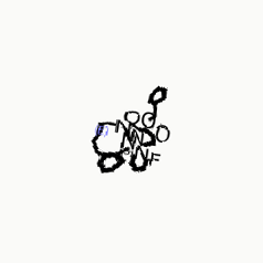 O=C1c2c(OCc3ccccc3)c(=O)ccn2N2CN1C/C=C/CCc1ccccc1[C@H]2c1cccc(F)n1